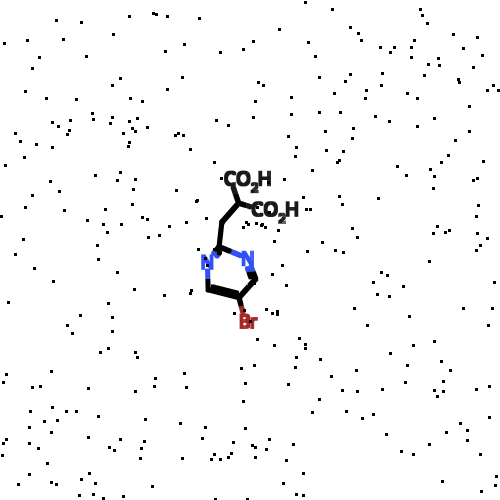 O=C(O)C(Cc1ncc(Br)cn1)C(=O)O